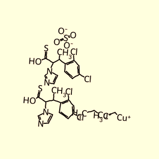 CC(c1ccc(Cl)cc1Cl)C(C(O)=S)n1ccnc1.CC(c1ccc(Cl)cc1Cl)C(C(O)=S)n1ccnc1.C[CH2][Cu+].C[CH2][Cu+].O=S(=O)([O-])[O-]